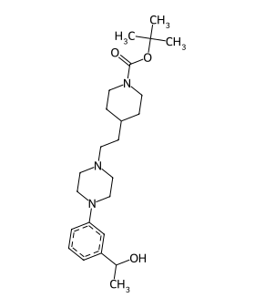 CC(O)c1cccc(N2CCN(CCC3CCN(C(=O)OC(C)(C)C)CC3)CC2)c1